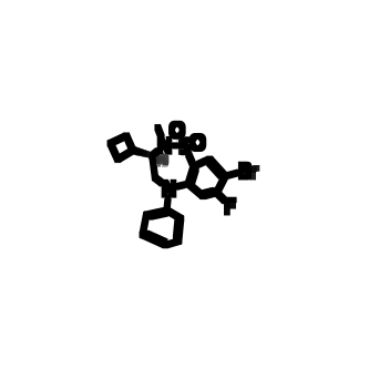 CN1[C@H](C2CCC2)CN(c2ccccc2)c2cc(F)c(Br)cc2S1(=O)=O